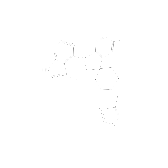 Clc1ccc2c(c1)C1(CCN(Cc3c[nH]cn3)CC1)CN2c1ncnc2[nH]cc(Cl)c12